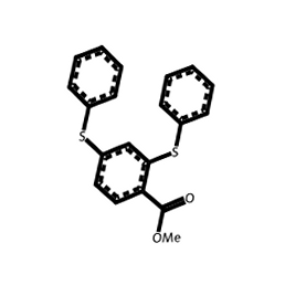 COC(=O)c1ccc(Sc2ccccc2)cc1Sc1ccccc1